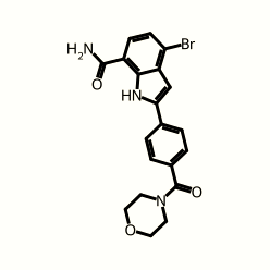 NC(=O)c1ccc(Br)c2cc(-c3ccc(C(=O)N4CCOCC4)cc3)[nH]c12